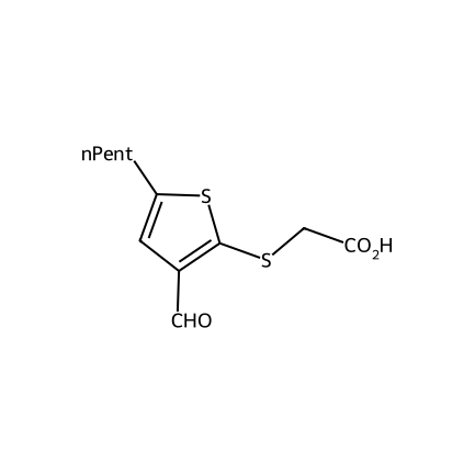 CCCCCc1cc(C=O)c(SCC(=O)O)s1